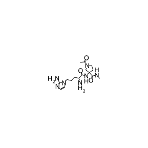 CNC(=O)C1(NC(=O)[C@@H](N)CCCn2ccnc2N)CCN(C(C)=O)C1